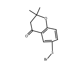 CC1(C)CC(=O)c2cc(SBr)ccc2O1